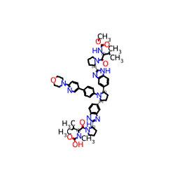 COC(=O)N[C@H](C(=O)N1CCC[C@H]1c1nc2cc([C@H]3CC[C@H](c4ccc5[nH]c([C@@H]6CCCN6C(=O)[C@H](C(C)C)N(C)C(=O)O)nc5c4)N3c3ccc(-c4ccc(N5CCOCC5)nc4)cc3)ccc2[nH]1)C(C)C